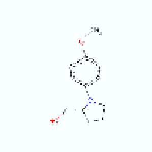 COc1ccc(N2CCC[C@@H]2CO)cc1